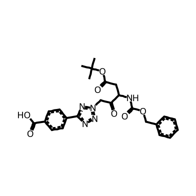 CC(C)(C)OC(=O)CC(NC(=O)OCc1ccccc1)C(=O)Cn1nnc(-c2ccc(C(=O)O)cc2)n1